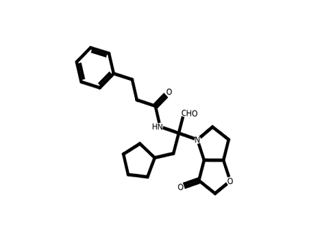 O=CC(CC1CCCC1)(NC(=O)CCc1ccccc1)N1CCC2OCC(=O)C21